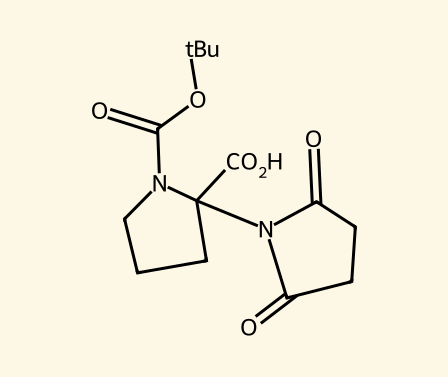 CC(C)(C)OC(=O)N1CCCC1(C(=O)O)N1C(=O)CCC1=O